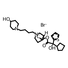 O=C(O[C@H]1C[N+]2(CCCCN3CCC(O)CC3)CCC1CC2)[C@](O)(c1cccs1)C1CCCC1.[Br-]